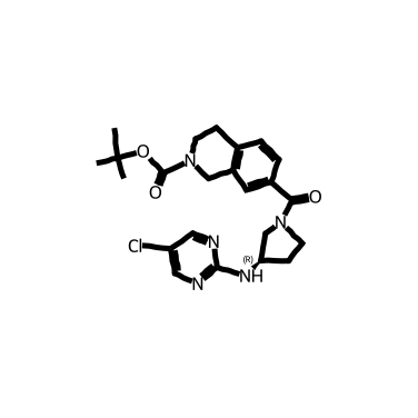 CC(C)(C)OC(=O)N1CCc2ccc(C(=O)N3CC[C@@H](Nc4ncc(Cl)cn4)C3)cc2C1